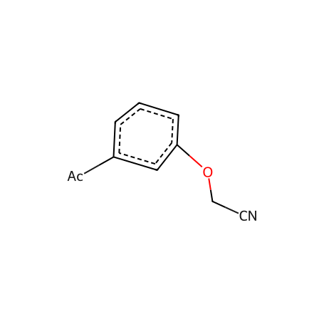 CC(=O)c1cccc(OCC#N)c1